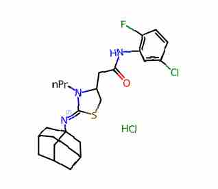 CCCN1/C(=N/C23CC4CC(CC(C4)C2)C3)SCC1CC(=O)Nc1cc(Cl)ccc1F.Cl